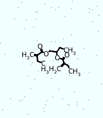 C=C(CC)C(=O)OCC(CC)OC(=O)C(=C)CC